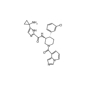 NC1(c2cnc(C(=O)N[C@@H]3CN(C(=O)c4cccn5cncc45)CC[C@H]3c3cccc(Cl)c3)[nH]2)CC1